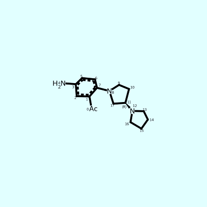 CC(=O)c1cc(N)ccc1N1CC[C@@H](N2CCCC2)C1